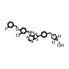 OC[C@@H]1[C@H]2CN(Cc3ccc(-c4nc5c(Nc6ccc(OCc7cccc(F)c7)c(Cl)c6)ncnc5s4)cc3)C[C@@H]12